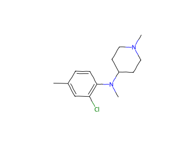 Cc1ccc(N(C)C2CCN(C)CC2)c(Cl)c1